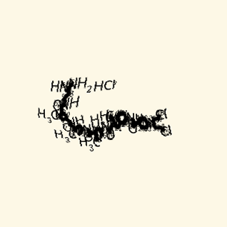 Cl.Cn1cc(NC(=O)c2cc(NC(=O)c3cc(NC(=O)c4cc5cc(NC(=O)c6ccc(N(CCCl)CCCl)cc6)ccc5n4C)cn3C)cn2C)cc1C(=O)NCCC(=N)N